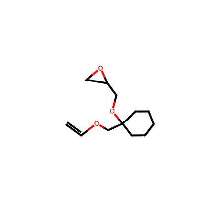 C=COCC1(OCC2CO2)CCCCC1